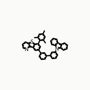 Cc1cc(C)c(-c2cc(-c3cccc(-c4cccc(-n5c6ccccc6c6ccccc65)c4)c3)cc3c2sc2cccnc23)c(C)c1